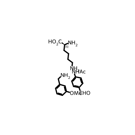 CC(=O)Nc1ccc(C=O)cc1.COc1cccc(CN)c1.NCCCC[C@H](N)C(=O)O